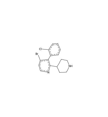 Clc1ccccc1-c1c(Br)ccnc1C1CCNCC1